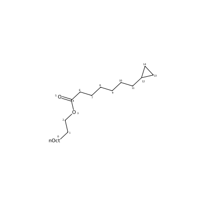 CCCCCCCCCCOC(=O)CCCCCCC1CC1